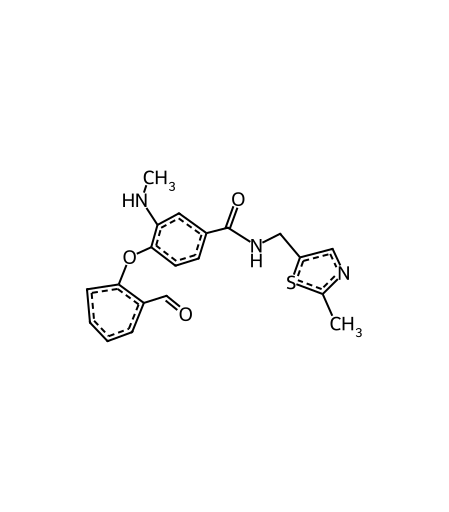 CNc1cc(C(=O)NCc2cnc(C)s2)ccc1Oc1ccccc1C=O